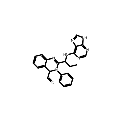 CCC(Nc1ncnc2[nH]cnc12)C1=Nc2ccccc2C(C=O)N1c1ccccc1